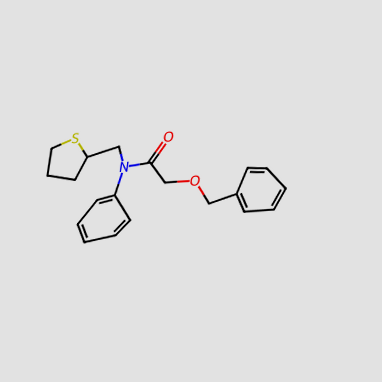 O=C(COCc1ccccc1)N(CC1CCCS1)c1ccccc1